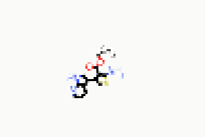 CCOC(=O)c1c(-c2c[nH]c3ncccc23)csc1N